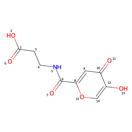 O=C(O)CCNC(=O)c1cc(=O)c(O)co1